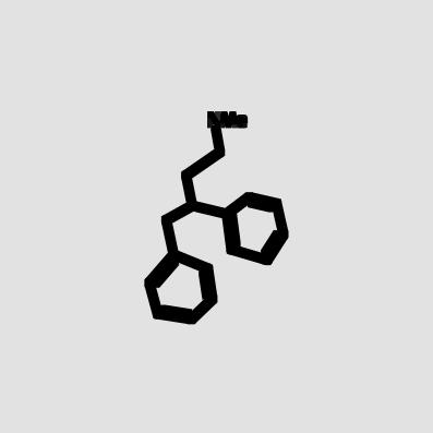 CNCCC(Cc1ccccc1)c1ccccc1